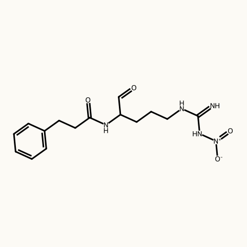 N=C(NCCCC(C=O)NC(=O)CCc1ccccc1)N[N+](=O)[O-]